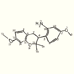 COc1ccc(C2Cc3ccc(OC)cc3OC2(C)C)c(N)c1